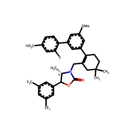 COc1cc(C2=C(CN3C(=O)OC(c4cc(C(F)(F)F)cc(C(F)(F)F)c4)[C@@H]3C)CC(C)(C)CC2)cc(-c2ccc(C(=O)O)cc2F)c1